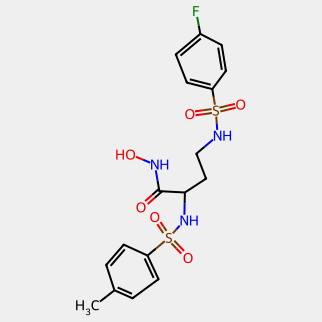 Cc1ccc(S(=O)(=O)NC(CCNS(=O)(=O)c2ccc(F)cc2)C(=O)NO)cc1